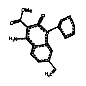 C=Cc1ccc2c(N)c(C(=O)OC)c(=O)n(-c3ccccc3)c2c1